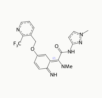 CN/C(C(=O)Nc1ccn(C)n1)=C1/C=C(OCc2cccnc2C(F)(F)F)C=CC1=N